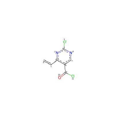 C=Cc1nc(Cl)ncc1C(=O)Cl